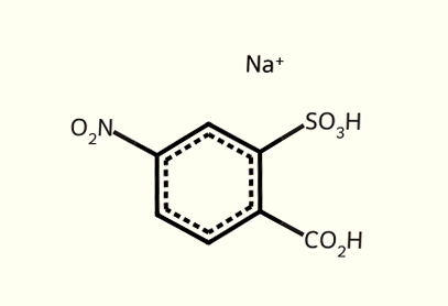 O=C(O)c1ccc([N+](=O)[O-])cc1S(=O)(=O)O.[Na+]